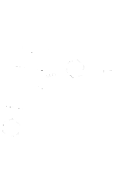 CCCCCOc1ccc(C#C[C@@]2(O)C(COS(=O)(=O)c3ccc(C)cc3)O[C@@H]3OC(C)(C)O[C@@H]32)cc1